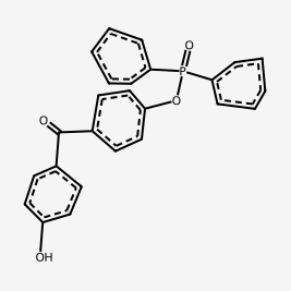 O=C(c1ccc(O)cc1)c1ccc(OP(=O)(c2ccccc2)c2ccccc2)cc1